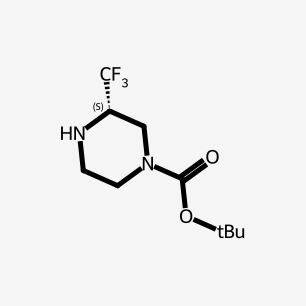 CC(C)(C)OC(=O)N1CCN[C@H](C(F)(F)F)C1